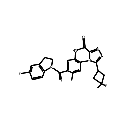 Cc1cc2c(cc1C(=O)N1CCc3cc(F)ccc31)[nH]c(=O)c1nnc(C3CC(F)(F)C3)n12